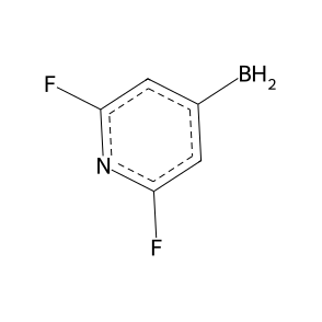 Bc1cc(F)nc(F)c1